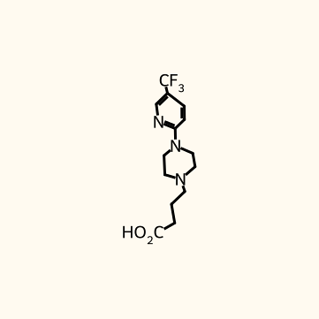 O=C(O)CCCN1CCN(c2ccc(C(F)(F)F)cn2)CC1